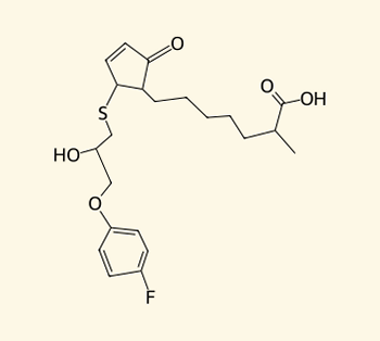 CC(CCCCCC1C(=O)C=CC1SCC(O)COc1ccc(F)cc1)C(=O)O